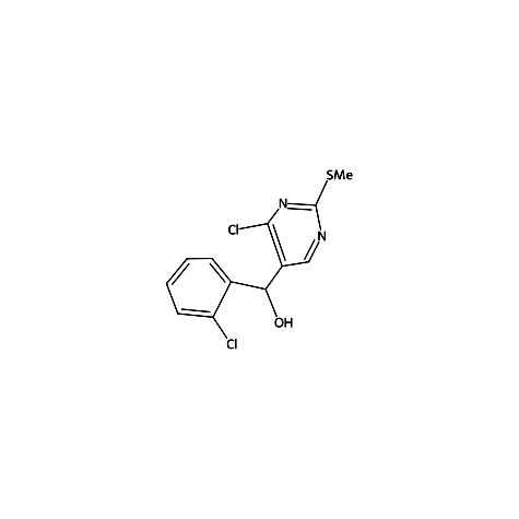 CSc1ncc(C(O)c2ccccc2Cl)c(Cl)n1